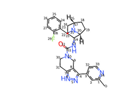 Cc1cc(-c2n[nH]c3c2CN(C(=O)N[C@H]2CC[C@@H]4CC[C@H]2N4Cc2ccccc2F)CC3)ccn1